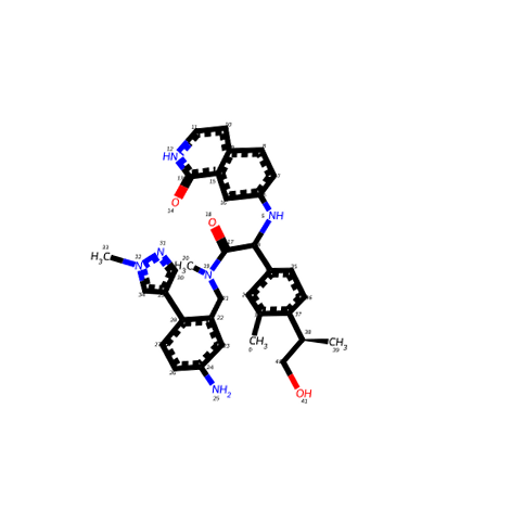 Cc1cc(C(Nc2ccc3cc[nH]c(=O)c3c2)C(=O)N(C)Cc2cc(N)ccc2-c2cnn(C)c2)ccc1[C@@H](C)CO